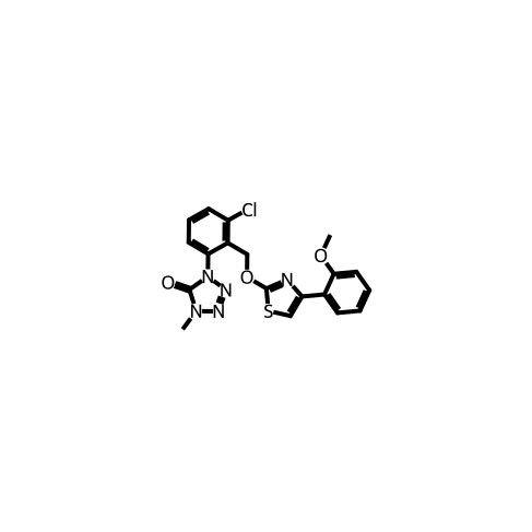 COc1ccccc1-c1csc(OCc2c(Cl)cccc2-n2nnn(C)c2=O)n1